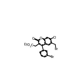 CCOC(=O)Cc1c(-c2cccc(Br)c2)c2cc(CBr)c(Cl)cc2oc1=O